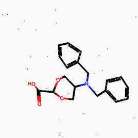 O=C(O)C1OCC(N(Cc2ccccc2)Cc2ccccc2)CO1